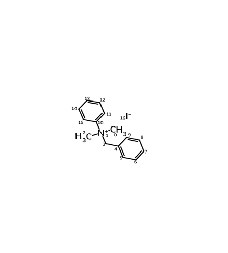 C[N+](C)(Cc1ccccc1)c1ccccc1.[I-]